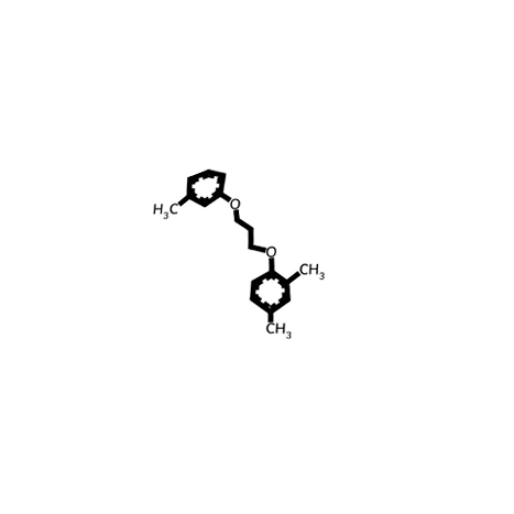 Cc1cccc(OCCCOc2ccc(C)cc2C)c1